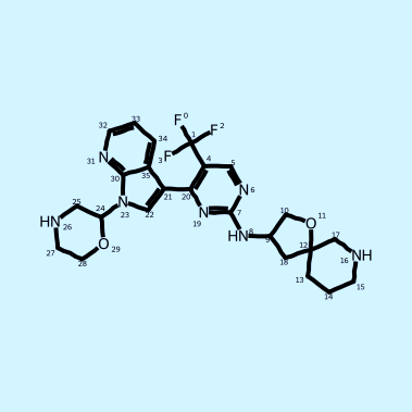 FC(F)(F)c1cnc(NC2COC3(CCCNC3)C2)nc1-c1cn(C2CNCCO2)c2ncccc12